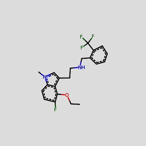 CCOc1c(F)ccc2c1c(CCNCc1ccccc1C(F)(F)F)cn2C